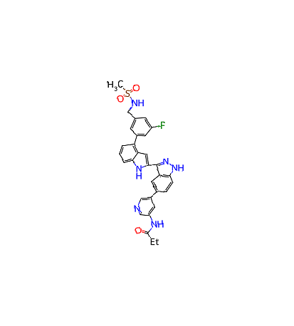 CCC(=O)Nc1cncc(-c2ccc3[nH]nc(-c4cc5c(-c6cc(F)cc(CNS(C)(=O)=O)c6)cccc5[nH]4)c3c2)c1